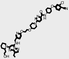 CCc1cnn2c(NCc3ccc(OCCOC4CCN(c5ccc(C(=O)N[C@H]6CC[C@H](Oc7ccc(C#N)c(Cl)c7)CC6)nn5)CC4)nc3)cc(N3CCCCC3CCO)nc12